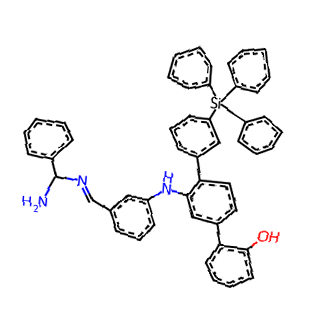 NC(/N=C/c1cccc(Nc2cc(-c3ccccc3O)ccc2-c2cccc([Si](c3ccccc3)(c3ccccc3)c3ccccc3)c2)c1)c1ccccc1